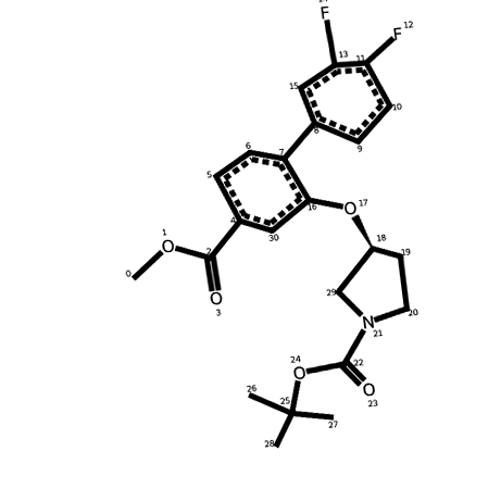 COC(=O)c1ccc(-c2ccc(F)c(F)c2)c(O[C@H]2CCN(C(=O)OC(C)(C)C)C2)c1